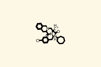 CC1(C(=O)NC2CCCCCC2)CN2Cc3ccccc3CC2C(=O)N1CCc1ccc(Cl)cc1